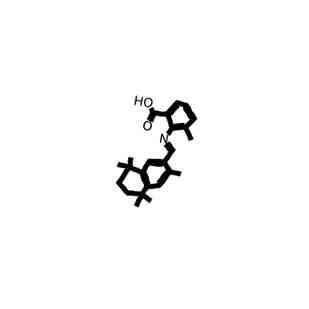 Cc1cc2c(cc1C=Nc1c(C)cccc1C(=O)O)C(C)(C)CCC2(C)C